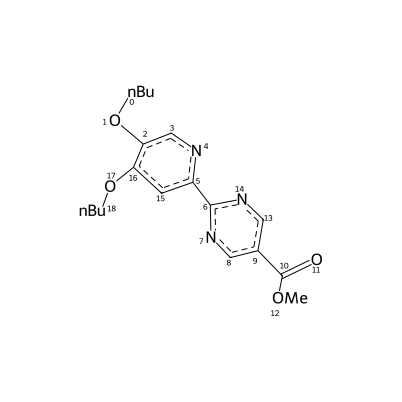 CCCCOc1cnc(-c2ncc(C(=O)OC)cn2)cc1OCCCC